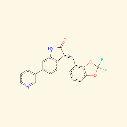 O=C1Nc2cc(-c3cccnc3)ccc2/C1=C\c1cccc2c1OC(F)(F)O2